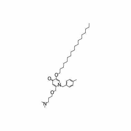 CCCCCCCCCCCCCCCCCCOc1cn(Cc2ccc(C)cc2)c(COCCCN(C)C)cc1=O